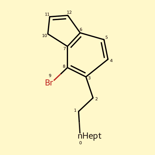 CCCCCCCCCc1ccc2c(c1Br)CC=C2